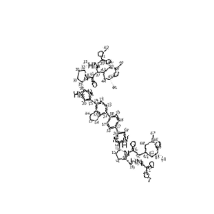 COC(=O)N[C@H](C(=O)N1[C@@H](C)CC[C@H]1c1nc(-c2ccc(-c3ccc(-c4c[nH]c([C@@H]5CC[C@H](C)N5C(=O)[C@@H](NC(=O)OC)C5C[C@@H](C)O[C@H](C)C5)n4)c4c3CCC4)cc2)c[nH]1)C1C[C@@H](C)O[C@H](C)C1